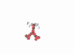 FC(F)(F)c1cc(-c2ccc(-c3ccc(-n4c5ccc(-c6ccc(N(c7ccccc7)c7ccccc7)cc6)cc5c5cc(-c6ccc(N(c7ccccc7)c7ccccc7)cc6)ccc54)cc3)cc2)cc(C(F)(F)F)c1